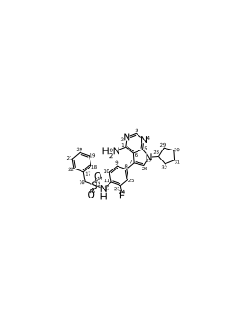 Nc1ncnc2c1c(-c1ccc(NS(=O)(=O)Cc3ccccc3)c(F)c1)cn2C1CCCC1